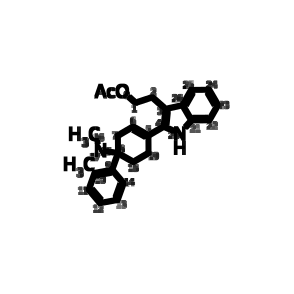 CC(=O)OCCc1c(C2=CCC(c3ccccc3)(N(C)C)CC2)[nH]c2ccccc12